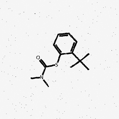 CN(C)C(=O)Sc1ccccc1C(C)(C)C